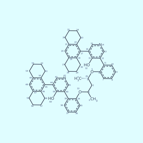 CC(C[C@H](C)Oc1ccccc1-c1cncc(-c2c3c(cc4c2CCCC4)CCCC3)c1O)Oc1ccccc1-c1cncc(-c2c3c(cc4c2CCCC4)CCCC3)c1O